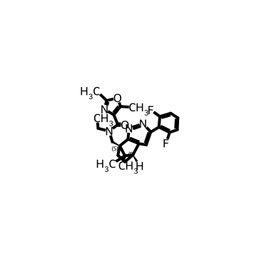 CCN(C[C@@]12CC[C@@H](c3cc(-c4c(F)cccc4F)nnc31)C2(C)C)C(=O)c1nc(C)oc1C